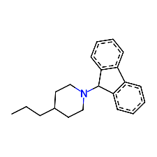 CCCC1CCN(C2c3ccccc3-c3ccccc32)CC1